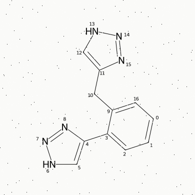 c1ccc(-c2c[nH]nn2)c(Cc2c[nH]nn2)c1